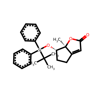 CC(C)(C)[Si](O[C@H]1CCC2=CC(=O)O[C@@]21C)(c1ccccc1)c1ccccc1